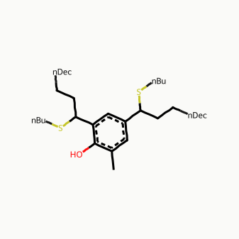 CCCCCCCCCCCCC(SCCCC)c1cc(C)c(O)c(C(CCCCCCCCCCCC)SCCCC)c1